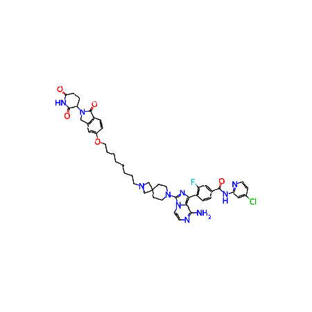 Nc1nccn2c(N3CCC4(CC3)CN(CCCCCCCCOc3ccc5c(c3)CN(C3CCC(=O)NC3=O)C5=O)C4)nc(-c3ccc(C(=O)Nc4cc(Cl)ccn4)cc3F)c12